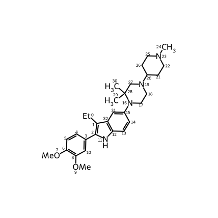 CCc1c(-c2ccc(OC)c(OC)c2)[nH]c2ccc(N3CCN(C4CCN(C)CC4)CC3(C)C)cc12